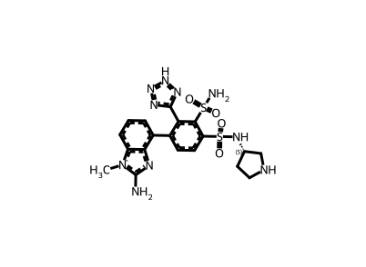 Cn1c(N)nc2c(-c3ccc(S(=O)(=O)N[C@H]4CCNC4)c(S(N)(=O)=O)c3-c3nn[nH]n3)cccc21